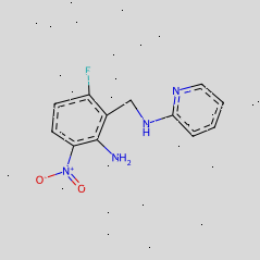 Nc1c([N+](=O)[O-])ccc(F)c1CNc1ccccn1